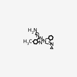 Cc1ccc2nc(N3CCS(=NC4CC4)c4ccccc4C3)nc(N3CC(N)C3)c2c1